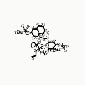 C=CCC(CC)(CC=C)C(=O)O[C@H]1C[C@H](O[Si](C)(C)C(C)(C)C)C=C2C=C[C@H](C)[C@H](CC[C@@H]3C[C@@H](O[Si](C)(C)C(C)(C)C)CC(=O)O3)[C@H]21